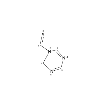 S=CN1C=NC=NC1